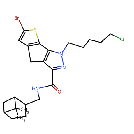 CC1(C)C2CCC(CNC(=O)c3nn(CCCCCCl)c4c3Cc3cc(Br)sc3-4)C1C2